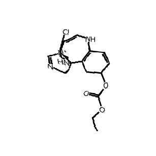 CCOC(=O)OC1C=CC2=C(C1)C13CN=C[N+]1(C=CN2)C(Cl)=CN3